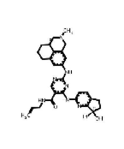 C=CCNC(=O)c1cnc(Nc2cc3c4c(c2)CN(C)CC4(F)CCC3)nc1Nc1ccc2c(n1)[C@](O)(CC)CC2